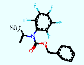 CC(C(=O)O)N(C(=O)OCc1ccccc1)c1c(F)c(F)c(F)c(F)c1F